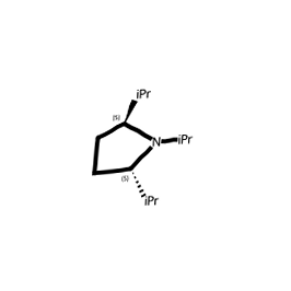 CC(C)[C@@H]1CC[C@@H](C(C)C)N1C(C)C